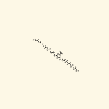 CCCCCCCCCCCCCCCCCC(CCCCCCCCCCCCCCCC)CCN(C)C